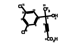 O=C(O)C#CC(O)(c1cc(Cl)cc(Cl)c1)C(F)(F)F